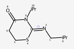 CC(C)C/N=C1\SCCC(=O)N1C(C)C